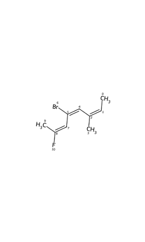 C\C=C(C)/C=C(Br)\C=C(/C)F